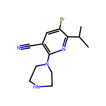 CC(C)c1nc(N2CCNCC2)c(C#N)cc1Br